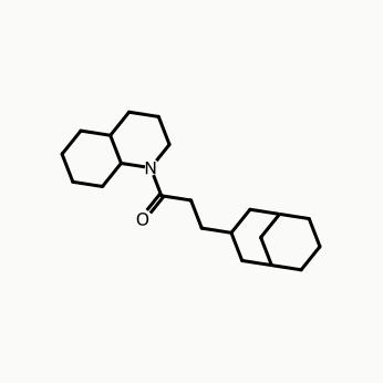 O=C(CCC1CC2CCCC(C2)C1)N1CCCC2CCCCC21